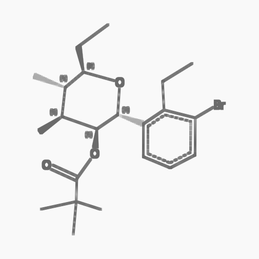 CCc1c(Br)cccc1[C@H]1O[C@H](CC)[C@@H](C)[C@H](C)[C@@H]1OC(=O)C(C)(C)C